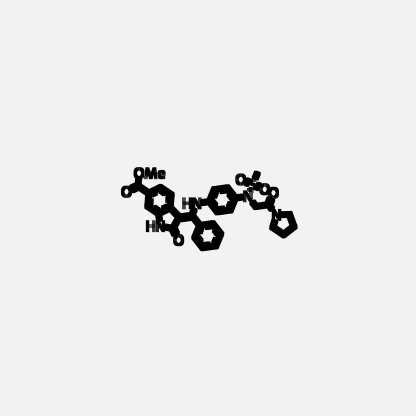 COC(=O)c1ccc2c(c1)NC(=O)C2=C(Nc1ccc(N(CC(=O)N2CCCC2)S(C)(=O)=O)cc1)c1ccccc1